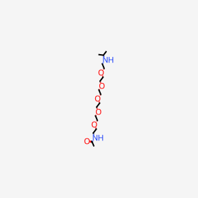 CC(=O)NCCOCCOCCOCCOCCOCCNC(C)C